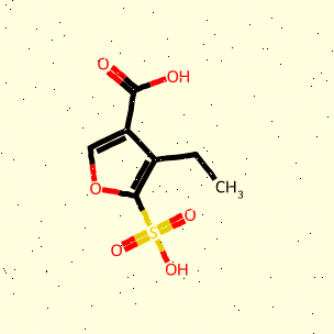 CCc1c(C(=O)O)coc1S(=O)(=O)O